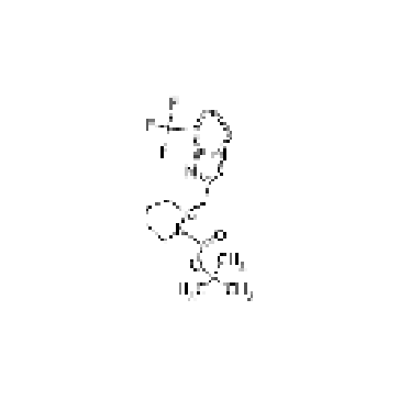 CC(C)(C)OC(=O)N1CCCC[C@H]1Cc1cn2cccc(C(F)(F)F)c2n1